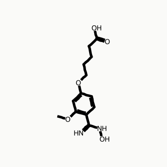 COc1cc(OCCCCC(=O)O)ccc1C(=N)NO